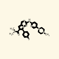 CN1CCN(c2ccc(Nc3ncc4cc(C(=O)N(C)C)c(-c5ccc(F)cc5)n4n3)nc2)CC1